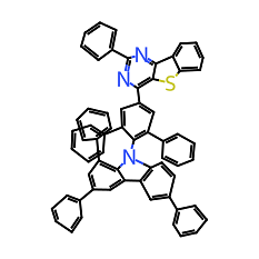 c1ccc(-c2ccc3c(c2)c2cc(-c4ccccc4)cc(-c4ccccc4)c2n3-c2c(-c3ccccc3)cc(-c3nc(-c4ccccc4)nc4c3sc3ccccc34)cc2-c2ccccc2)cc1